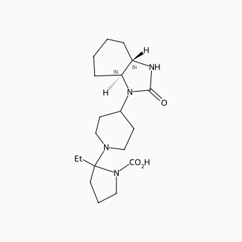 CCC1(N2CCC(N3C(=O)N[C@H]4CCCC[C@@H]43)CC2)CCCN1C(=O)O